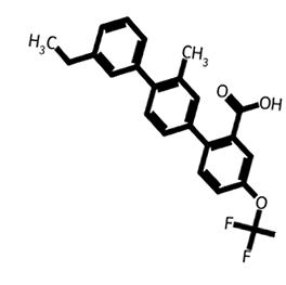 CCc1cccc(-c2ccc(-c3ccc(OC(F)(F)F)cc3C(=O)O)cc2C)c1